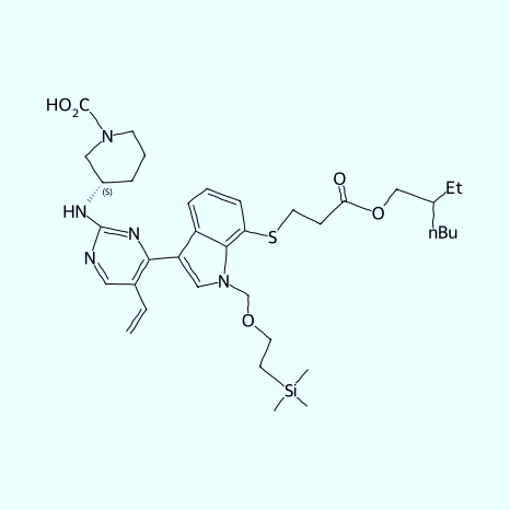 C=Cc1cnc(N[C@H]2CCCN(C(=O)O)C2)nc1-c1cn(COCC[Si](C)(C)C)c2c(SCCC(=O)OCC(CC)CCCC)cccc12